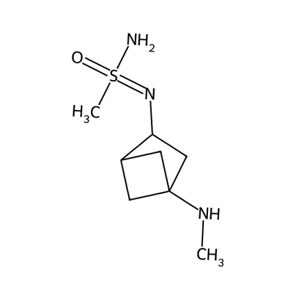 CNC12CC(C1)C(N=S(C)(N)=O)C2